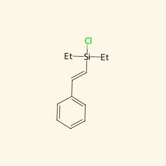 CC[Si](Cl)(C=Cc1ccccc1)CC